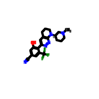 CN1CCC[C@H](N2CCCc3cc(-c4c(O)cc(C#N)cc4C(F)(F)F)nnc32)C1